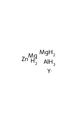 [AlH3].[MgH2].[MgH2].[Y].[Zn]